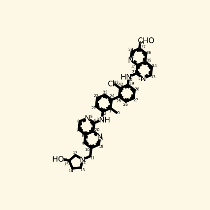 Cc1c(Nc2nccc3cc(CN4CCC(O)C4)cnc23)cccc1-c1cccc(Nc2nccc3cc(C=O)cnc23)c1Cl